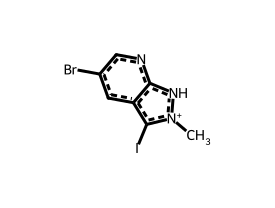 C[n+]1[nH]c2ncc(Br)cc2c1I